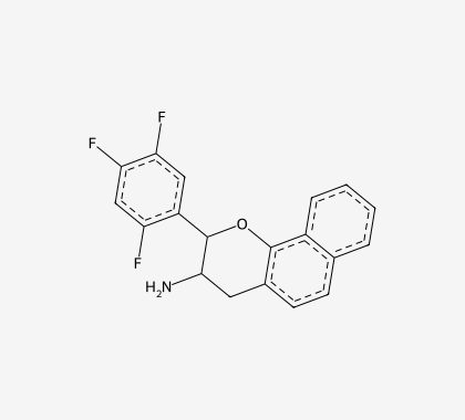 NC1Cc2ccc3ccccc3c2OC1c1cc(F)c(F)cc1F